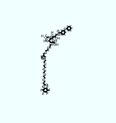 CC(=O)N[C@H]1[C@H]([C@H](O)[C@H](O)CNC(=O)c2cccc(Oc3ccccc3)c2)O[C@](OCCOCCOCc2cn(CCOCCOCCOCCOCCC(=O)Oc3c(F)c(F)c(F)c(F)c3F)nn2)(C(=O)O)C[C@@H]1O